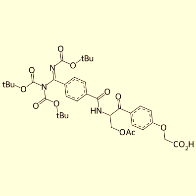 CC(=O)OCC(NC(=O)c1ccc(C(=NC(=O)OC(C)(C)C)N(C(=O)OC(C)(C)C)C(=O)OC(C)(C)C)cc1)C(=O)c1ccc(OCC(=O)O)cc1